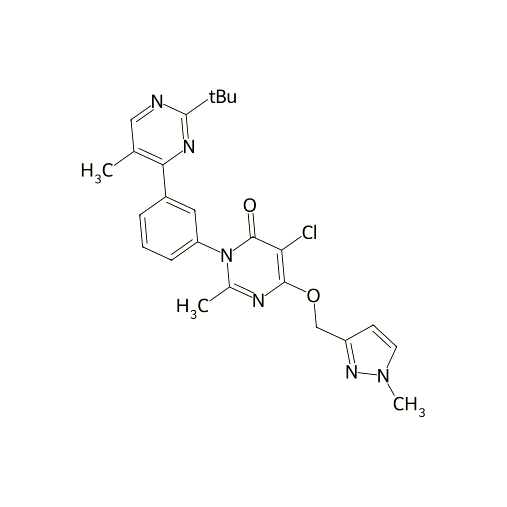 Cc1cnc(C(C)(C)C)nc1-c1cccc(-n2c(C)nc(OCc3ccn(C)n3)c(Cl)c2=O)c1